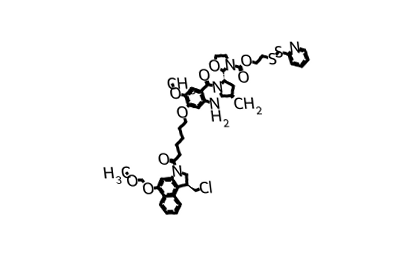 C=C1C[C@@H](C2OCCN2C(=O)OCCSSc2ccccn2)N(C(=O)c2cc(OC)c(OCCCCCC(=O)N3C[C@@H](CCl)c4c3cc(OCOC)c3ccccc43)cc2N)C1